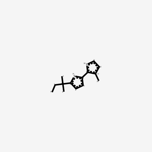 CCC(C)(C)c1ccc(-c2sccc2C)s1